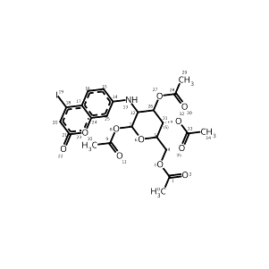 CC(=O)OCC1OC(OC(C)=O)C(Nc2ccc3c(I)cc(=O)oc3c2)C(OC(C)=O)[C@@H]1OC(C)=O